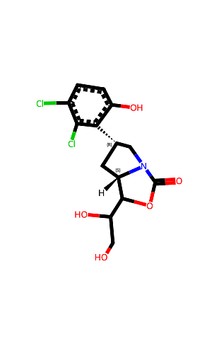 O=C1OC(C(O)CO)[C@@H]2C[C@H](c3c(O)ccc(Cl)c3Cl)CN12